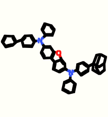 c1ccc(-c2ccc(N(c3ccccc3)c3ccc4c(c3)oc3cc(N(c5ccccc5)c5ccc(C67CC8CC(CC(C8)C6)C7)cc5)ccc34)cc2)cc1